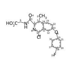 Cc1c(C(=O)NCC(=O)O)nc(Cl)c2cc(Oc3ccc(F)cc3)ccc12